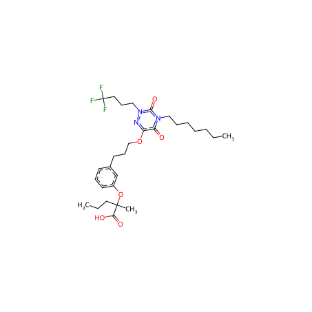 CCCCCCCn1c(=O)c(OCCCc2cccc(OC(C)(CCC)C(=O)O)c2)nn(CCCC(F)(F)F)c1=O